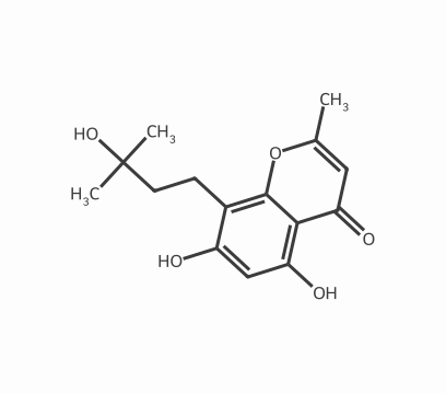 Cc1cc(=O)c2c(O)cc(O)c(CCC(C)(C)O)c2o1